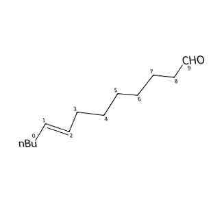 CCCCC=CCCCCCCC=O